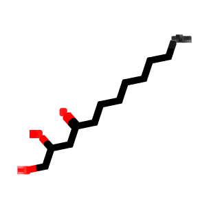 CCCCCCCCCCCCCCCCC(=O)CC(O)CO